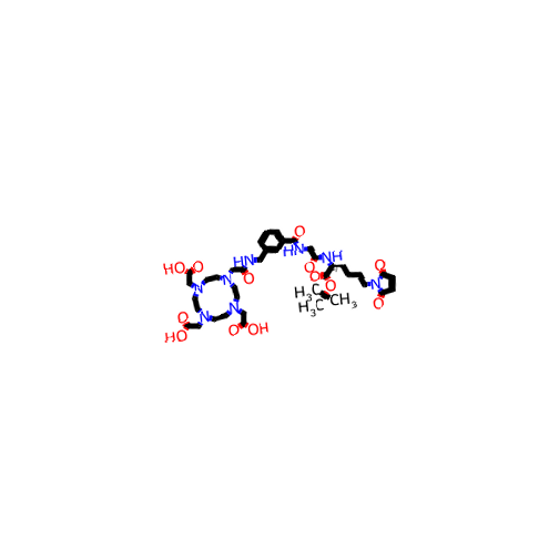 CC(C)(C)OC(=O)[C@H](CCCCN1C(=O)C=CC1=O)NC(=O)CNC(=O)c1cccc(CNC(=O)CN2CCN(CC(=O)O)CCN(CC(=O)O)CCN(CC(=O)O)CC2)c1